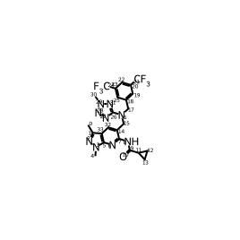 Cc1nn(C)c2nc(NC(=O)C3CC3)c(CN(Cc3cc(C(F)(F)F)cc(C(F)(F)F)c3)c3nnn(C)n3)cc12